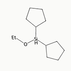 CCO[SiH](C1CCCC1)C1CCCC1